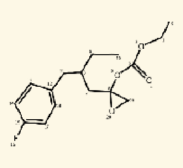 CCOC(=O)OC1(CC(CC)Cc2ccc(F)cc2)CO1